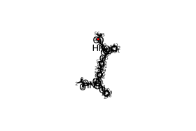 C=C(C)C(=O)OCCNC(=O)OC(COc1ccccc1)COc1ccc(C(C)(C)c2ccc(OCC(COc3ccccc3)OC(=O)NCCOC(=O)C(=C)C)cc2)cc1